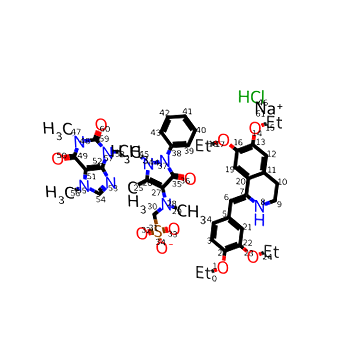 CCOc1ccc(/C=C2\NCCc3cc(OCC)c(OCC)cc32)cc1OCC.Cc1c(N(C)CS(=O)(=O)[O-])c(=O)n(-c2ccccc2)n1C.Cl.Cn1c(=O)c2c(ncn2C)n(C)c1=O.[Na+]